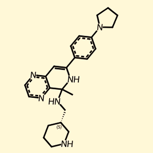 CC1(NC[C@H]2CCCNC2)NC(c2ccc(N3CCCC3)cc2)=Cc2nccnc21